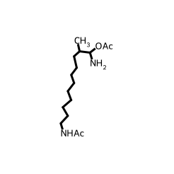 CC(=O)NCCCCCCCCCC(C)C(N)OC(C)=O